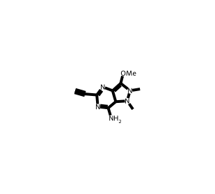 C#CC1=NC2=C(OC)N(C)N(C)C2C(N)=N1